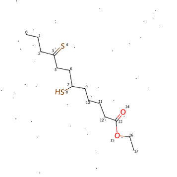 CCCC(=S)CCC(S)CCCCC(=O)OCC